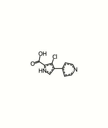 O=C(O)c1[nH]cc(-c2ccncc2)c1Cl